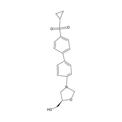 O=S(=O)(c1ccc(-c2ccc(N3CO[C@@H](CO)C3)cc2)cc1)C1CC1